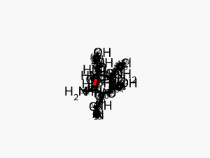 NCCCC[C@@H]1NC(=O)[C@@H](CCCCNC(=O)c2cccnc2)NC(=O)[C@H](Cc2ccc(O)cc2)NC(=O)[C@H](NC(=O)[C@@H](N)Cc2ccc(Cl)cc2)CSSC2[C@@H](C(=O)N[C@H](Cc3ccc(O)cc3)C(N)=O)NC(=O)[C@@H](NC1=O)[C@@H]2O